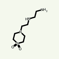 NCCNCCN1CCS(=O)(=O)CC1